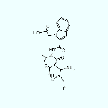 CC(C)[C@H](NC(=O)c1cc2ccccc2n1CC(=O)O)C(=O)C(C(=O)O)C(N)C(=O)CF